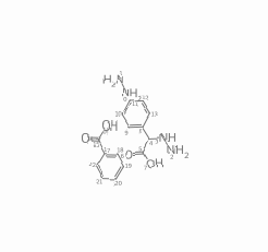 NN.NNC(C(=O)O)c1ccccc1.O=C(O)c1ccccc1